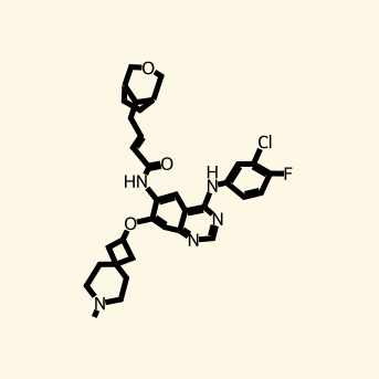 CN1CCC2(CC1)CC(Oc1cc3ncnc(Nc4ccc(F)c(Cl)c4)c3cc1NC(=O)/C=C/CC1C3CCC1COC3)C2